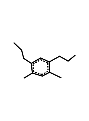 CCCc1cc(CCC)c(C)[c]c1C